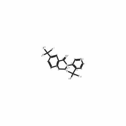 O=C1c2cc(C(F)(F)F)ccc2CCN1c1cnccc1C(F)(F)F